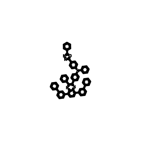 c1ccc(-c2cccc(-c3ccc(-c4cccc(-c5ccccc5)c4)c4nc(-c5ccc(N(c6ccccc6)c6ccc(-c7nnc(-c8ccccc8)o7)cc6)cc5)c(-c5ccccc5)nc34)c2)cc1